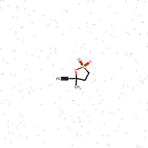 C#CC1(C)CCS(=O)(=O)O1